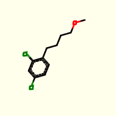 COCCCCc1ccc(Cl)cc1Cl